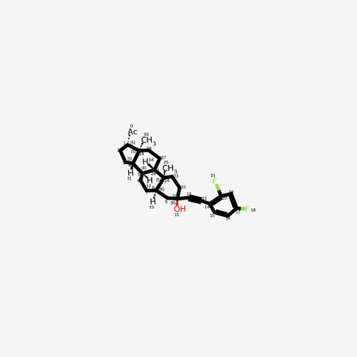 CC(=O)[C@H]1CC[C@H]2[C@@H]3CC[C@@H]4C[C@@](O)(C#Cc5ccc(F)cc5F)CC[C@]4(C)[C@H]3CC[C@]12C